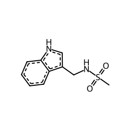 CS(=O)(=O)NCc1c[nH]c2ccccc12